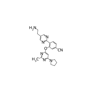 Cc1nc(Oc2cc(C#N)ccc2-c2ncc(CCN)cn2)cc(N2CCCC2)n1